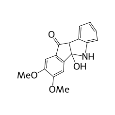 COc1cc2c(cc1OC)C1(O)Nc3ccccc3C1C2=O